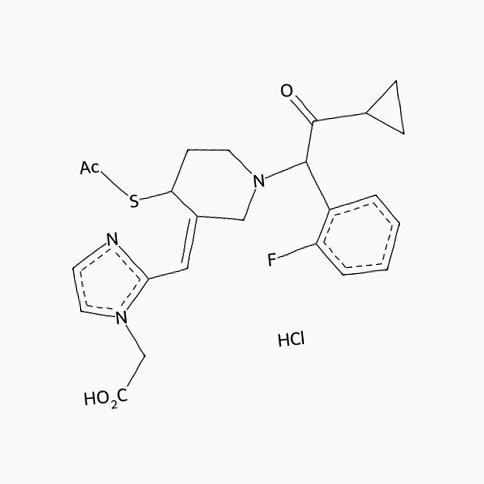 CC(=O)SC1CCN(C(C(=O)C2CC2)c2ccccc2F)C/C1=C/c1nccn1CC(=O)O.Cl